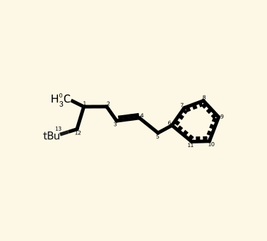 CC(CC=CCc1ccccc1)CC(C)(C)C